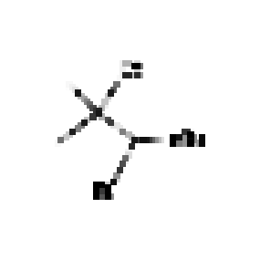 [CH2]CC(C)(C)C(CC)CCCC